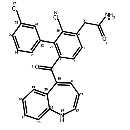 NC(=O)Cc1ccc(C(=O)C2=CC=CNc3ccccc32)c(-c2cccc(Cl)c2)c1Cl